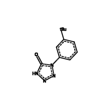 CC(C)(C)c1cccc(-n2nn[nH]c2=O)c1